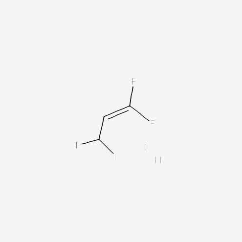 FC(F)=CC(F)F.[F-].[H+]